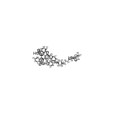 Cc1ccc(S(=O)(=O)O)c(-c2cc(OCc3ccccc3)c(C(=O)N3Cc4ccc(CN5CCN(CCCCCNC(=O)OC(C)(C)C)CC5)cc4C3)c(-c3cc(C)ccc3S(=O)(=O)O)c2)c1